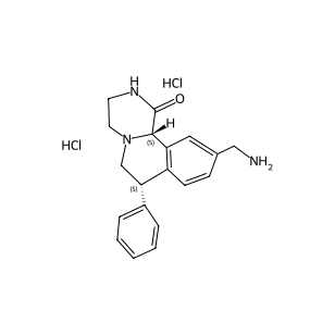 Cl.Cl.NCc1ccc2c(c1)[C@H]1C(=O)NCCN1C[C@H]2c1ccccc1